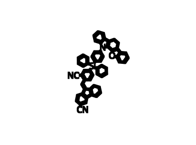 N#Cc1ccc2c(c1)C1=C(CCC=C1)/C2=C\c1ccc([Si](C2=CC=CCC2)(c2ccccc2)c2ccc(-n3c4c(c5ccccc53)CCc3c-4oc4ccccc34)cc2)cc1C#N